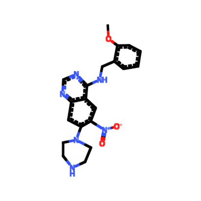 COc1ccccc1CNc1ncnc2cc(N3CCNCC3)c([N+](=O)[O-])cc12